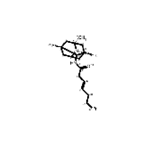 CON1C2C[C@@H]3C[C@@]1(C)C[C@H](C2)C3NC(=O)C/C=C/CCC(C)C